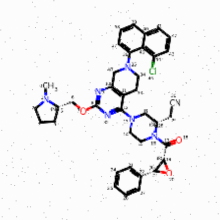 CN1CCC[C@H]1COc1nc2c(c(N3CCN(C(=O)[C@@H]4O[C@@H]4c4ccccc4)[C@@H](CC#N)C3)n1)CCN(c1cccc3cccc(Cl)c13)C2